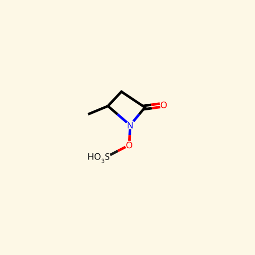 CC1CC(=O)N1OS(=O)(=O)O